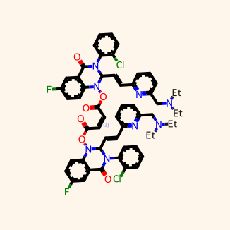 CCN(CC)Cc1cccc(C=CC2N(OC(=O)/C=C\C(=O)ON3c4ccc(F)cc4C(=O)N(c4ccccc4Cl)C3C=Cc3cccc(CN(CC)CC)n3)c3ccc(F)cc3C(=O)N2c2ccccc2Cl)n1